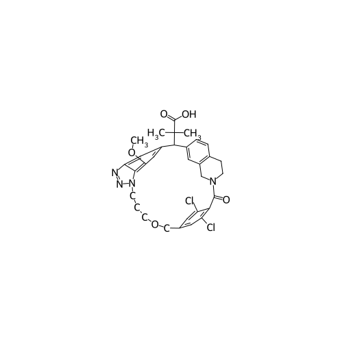 COc1cc2cc3nnn(c13)CCCOCc1cc(Cl)c(c(Cl)c1)C(=O)N1CCc3ccc(cc3C1)C2C(C)(C)C(=O)O